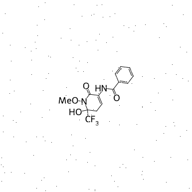 CON1C(=O)C(NC(=O)c2ccccc2)=CCC1(O)C(F)(F)F